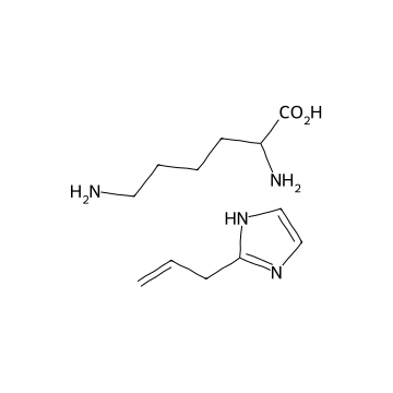 C=CCc1ncc[nH]1.NCCCCC(N)C(=O)O